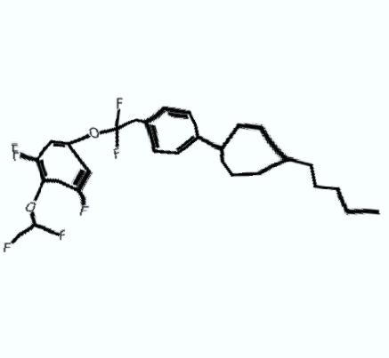 CCCCCC1CCC(c2ccc(C(F)(F)Oc3cc(F)c(OC(F)F)c(F)c3)cc2)CC1